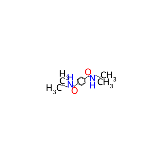 CC(C)CNC(=O)c1ccc(C(=O)NCC(C)C)cc1